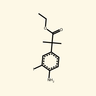 CCOC(=O)C(C)(C)c1ccc(N)c(I)c1